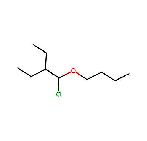 CCCCOC(Cl)C(CC)CC